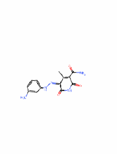 CC1=C(C(N)=O)C(=O)NC(=O)/C1=N\Nc1cccc(N)c1